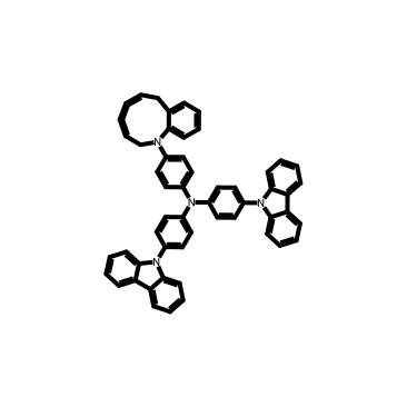 C1=C=CCN(c2ccc(N(c3ccc(-n4c5ccccc5c5ccccc54)cc3)c3ccc(-n4c5ccccc5c5ccccc54)cc3)cc2)c2ccccc2CC=1